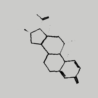 C[C@@H]1CC2C3CCC4=CC(=O)C=C[C@]4(C)C3[C@@H](O)C[C@]2(C)[C@H]1C(=O)S